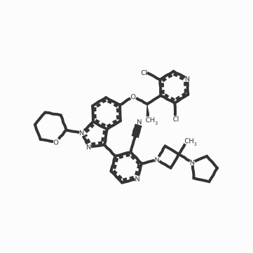 C[C@@H](Oc1ccc2c(c1)c(-c1ccnc(N3CC(C)(N4CCCC4)C3)c1C#N)nn2C1CCCCO1)c1c(Cl)cncc1Cl